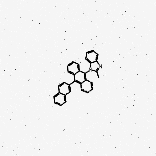 Cc1nc2ccccc2n1-c1c2ccccc2c(-c2ccc3ccccc3c2)c2ccccc12